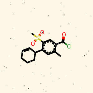 Cc1cc(C2C=CCCC2)c(S(C)(=O)=O)cc1C(=O)Cl